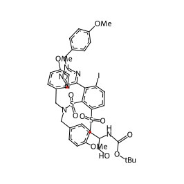 COc1ccc(CN(Cc2ccc(OC)cc2)S(=O)(=O)c2c(S(=O)(=O)CC(CO)NC(=O)OC(C)(C)C)ccc(I)c2-c2nnn(Cc3ccc(OC)cc3)n2)cc1